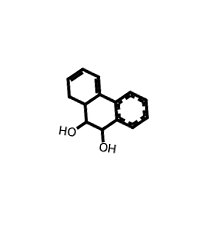 OC1c2ccccc2C2=CC=CCC2C1O